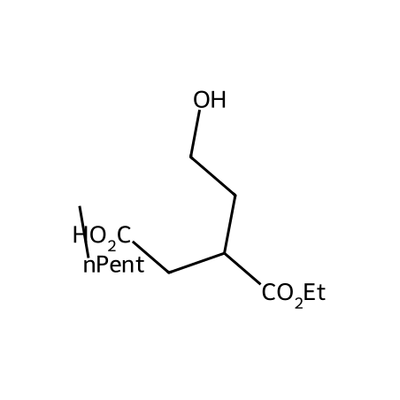 CCCCCC.CCOC(=O)C(CCO)CC(=O)O